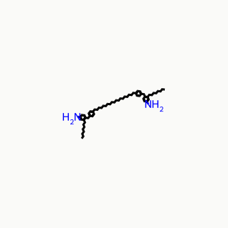 CCCCCCCCc1cc(N)ccc1Cc1ccc(CCCCCCCCCCCCCCCCCCCc2ccc(Cc3ccc(N)cc3CCCCCCCC)cc2)cc1